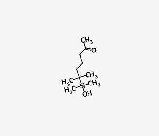 CC(=O)CCCC(C)(C)[Si](C)(C)O